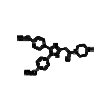 COc1ccc(-c2nc(CC(=O)N3CCNCC3)sc2-c2ccc(OC)cc2)cc1